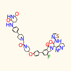 O=C1CCC(Nc2ccc(C3CCN(CC(=O)N4CCC(Oc5ccc(-c6cc(F)c7c(c6)C(=O)N(C(C(=O)Nc6nccs6)c6ncn8c6CCC8)C7)cc5)CC4)CC3)cc2)C(=O)N1